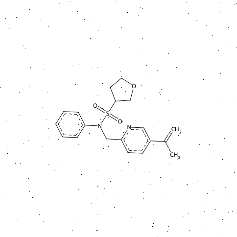 C=C(C)c1ccc(CN(c2ccccc2)S(=O)(=O)C2CCOC2)nc1